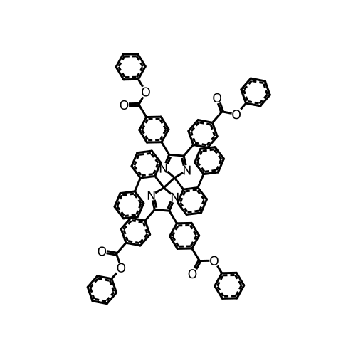 O=C(Oc1ccccc1)c1ccc(C2=NC(c3ccccc3-c3ccccc3)(C3(c4ccccc4-c4ccccc4)N=C(c4ccc(C(=O)Oc5ccccc5)cc4)C(c4ccc(C(=O)Oc5ccccc5)cc4)=N3)N=C2c2ccc(C(=O)Oc3ccccc3)cc2)cc1